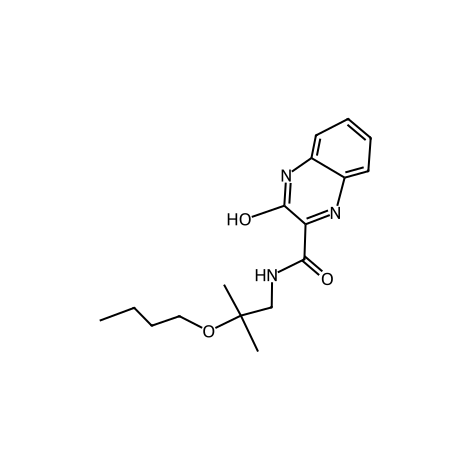 CCCCOC(C)(C)CNC(=O)c1nc2ccccc2nc1O